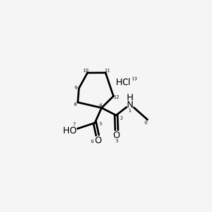 CNC(=O)C1(C(=O)O)CCCCC1.Cl